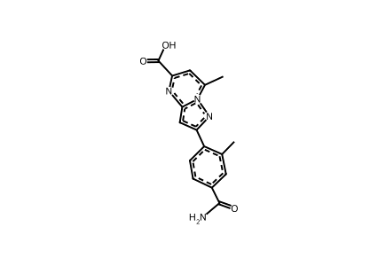 Cc1cc(C(N)=O)ccc1-c1cc2nc(C(=O)O)cc(C)n2n1